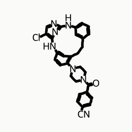 N#Cc1ccc(C(=O)N2CCN(c3ccc4cc3CCc3cccc(c3)Nc3ncc(Cl)c(n3)N4)CC2)cc1